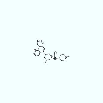 CC1CC(c2ccc(CN)c3ncccc23)CN(C(=O)NC2CCN(C)CC2)C1